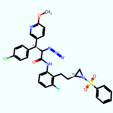 COc1ccc([C@H](c2ccc(Cl)cc2)C(N=[N+]=[N-])C(=O)Nc2cccc(F)c2CC[C@H]2CN2S(=O)(=O)c2ccccc2)cn1